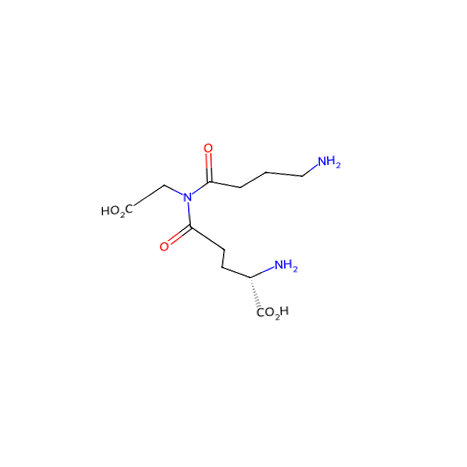 NCCCC(=O)N(CC(=O)O)C(=O)CC[C@H](N)C(=O)O